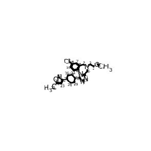 COCCN1Cc2cc(Cl)ccc2-n2c(nnc2[C@H]2CC[C@H](c3cc(C)on3)CC2)C1